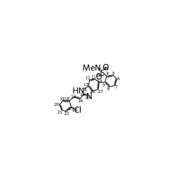 CNS(=O)(=O)c1ccccc1-c1ccc2[nH]c(C=Cc3ccccc3Cl)nc2c1